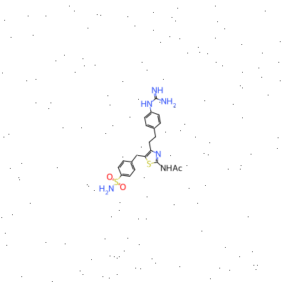 CC(=O)Nc1nc(CCc2ccc(NC(=N)N)cc2)c(Cc2ccc(S(N)(=O)=O)cc2)s1